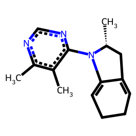 Cc1ncnc(N2C3=CCCC=C3C[C@H]2C)c1C